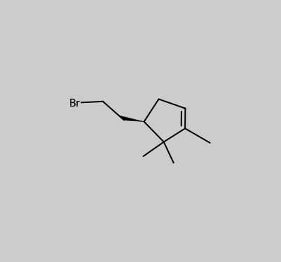 CC1=CC[C@H](CCBr)C1(C)C